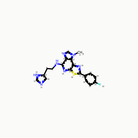 Cn1cnc2c(NCCc3cnc[nH]3)nc3sc(-c4ccc(F)cc4)nc3c21